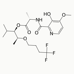 COc1ccnc(C(=O)N[C@@H](C)C(=O)O[C@H](C(C)C)[C@H](C)OCCCC(F)(F)F)c1O